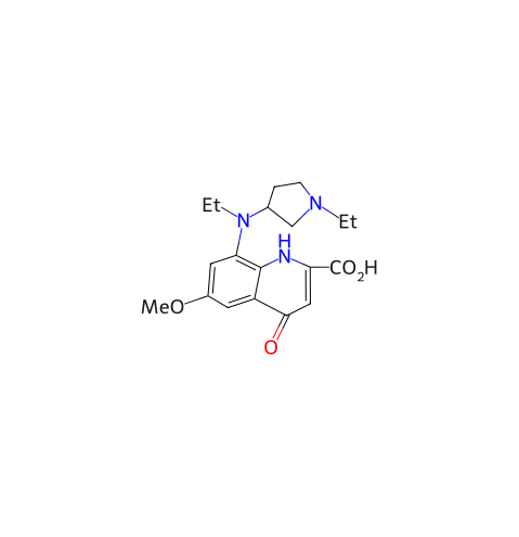 CCN1CCC(N(CC)c2cc(OC)cc3c(=O)cc(C(=O)O)[nH]c23)C1